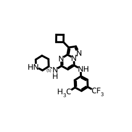 Cc1cc(Nc2cc(N[C@H]3CCCNC3)nc3c(C4CCC4)cnn23)cc(C(F)(F)F)c1